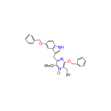 COc1c(Cc2c[nH]c3ccc(OCc4ccccc4)cc23)nc(OCc2ccccc2)c(CC(C)C)[n+]1[O-]